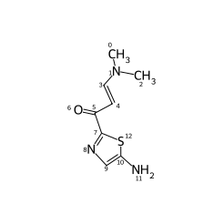 CN(C)/C=C/C(=O)c1ncc(N)s1